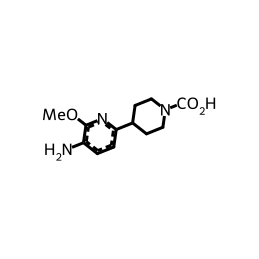 COc1nc(C2CCN(C(=O)O)CC2)ccc1N